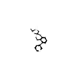 CC1=N[C@]2(CCc3c(cccc3-c3cccnc3)C2)CN1